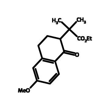 CCOC(=O)C(C)(C)C1CCc2cc(OC)ccc2C1=O